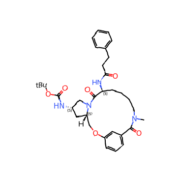 CN1CCCC[C@H](NC(=O)CCc2ccccc2)C(=O)N2C[C@@H](NC(=O)OC(C)(C)C)C[C@H]2COc2cccc(c2)C1=O